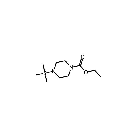 CCOC(=O)N1CCN(S(C)(C)C)CC1